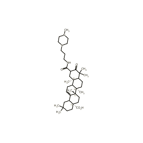 CN1CCN(CCCNC(=O)C2C[C@@]3(C)C(CC[C@]4(C)C3CC=C3C5CC(C)(C)CC[C@]5(C(=O)O)CC[C@]34C)C(C)(C)C2=O)CC1